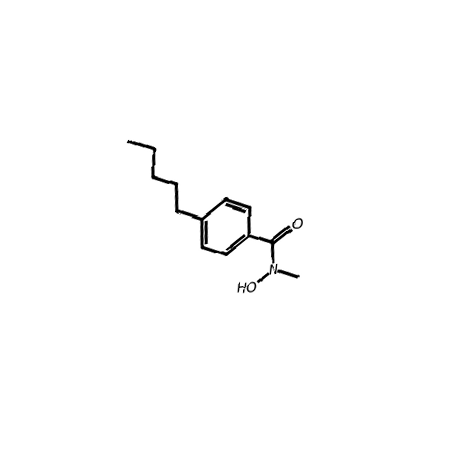 CCCCCc1ccc(C(=O)N(C)O)cc1